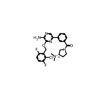 CN(C)[C@H]1CCN(C(=O)c2cccc(-c3cnc(N)c(OCc4c(F)ccc(F)c4Cl)n3)c2)C1